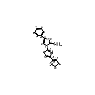 Nc1nc(-c2ccccc2)cn1-c1nc(C2=CCCS2)cs1